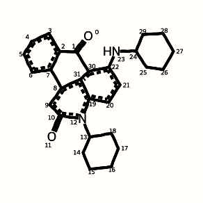 O=C1c2ccccc2-c2cc(=O)n(C3CCCCC3)c3ccc(NC4CCCCC4)c1c23